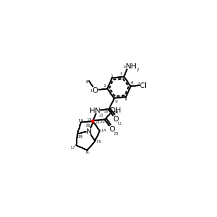 COc1cc(N)c(Cl)cc1C(=O)NC1CC2CCC(C1)N2CC(=O)O